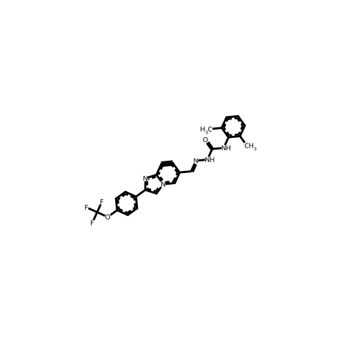 Cc1cccc(C)c1NC(=O)N/N=C/c1c#cc2nc(-c3ccc(OC(F)(F)F)cc3)cn2c1